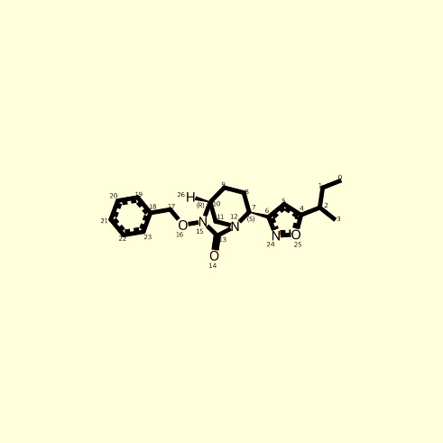 CCC(C)c1cc([C@@H]2CC[C@@H]3CN2C(=O)N3OCc2ccccc2)no1